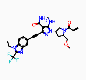 C=CC(=O)N1C[C@@H](n2nc(C#Cc3ccc4c(c3)nc(C(F)(F)F)n4CC)c(C(N)=O)c2NC)C[C@@H]1COC